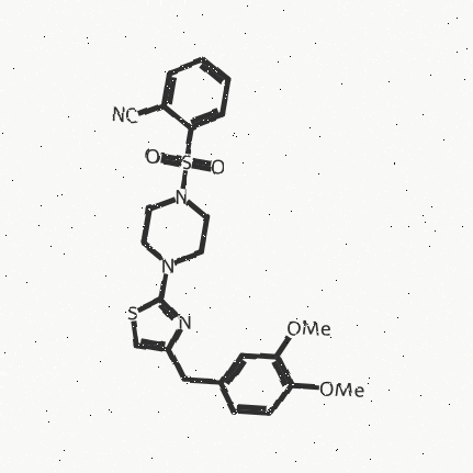 COc1ccc(Cc2csc(N3CCN(S(=O)(=O)c4ccccc4C#N)CC3)n2)cc1OC